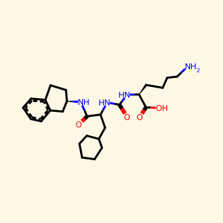 NCCCC[C@H](NC(=O)NC(CC1CCCCC1)C(=O)N[C@@H]1CCc2ccccc2C1)C(=O)O